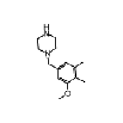 COc1cc(CN2CCNCC2)cc(C)c1C